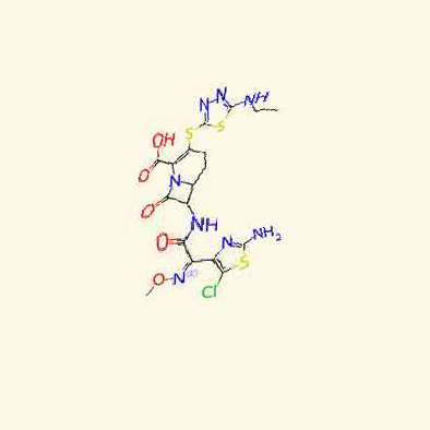 CCNc1nnc(SC2=C(C(=O)O)N3C(=O)C(NC(=O)/C(=N\OC)c4nc(N)sc4Cl)C3CC2)s1